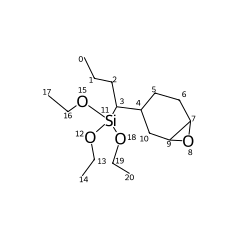 CCCC(C1CCC2OC2C1)[Si](OCC)(OCC)OCC